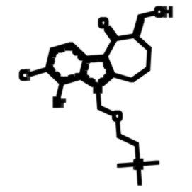 C[Si](C)(C)CCOCn1c2c(c3ccc(Cl)c(Br)c31)C(=O)C(=CO)CCC2